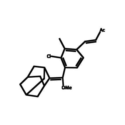 COC(=C1C2CC3CC(C2)CC1C3)c1ccc(/C=C/C(C)=O)c(C)c1Cl